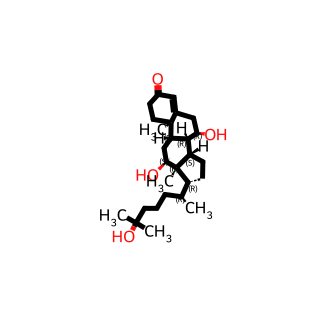 C[C@H](CCCC(C)(C)O)[C@H]1CC[C@H]2[C@@H]3[C@H](O)CC4=CC(=O)CC[C@]4(C)[C@H]3C[C@H](O)[C@]12C